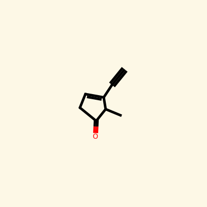 C#CC1=CCC(=O)C1C